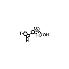 O=S1(=O)c2ccc(-c3c[nH]c4cc(F)ccc34)cc2CN1C[C@@H](O)CO